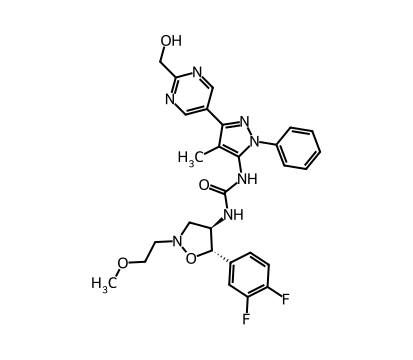 COCCN1C[C@@H](NC(=O)Nc2c(C)c(-c3cnc(CO)nc3)nn2-c2ccccc2)[C@H](c2ccc(F)c(F)c2)O1